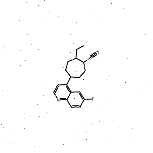 CCC1CCC(c2ccnc3ccc(F)cc23)CCC1C#N